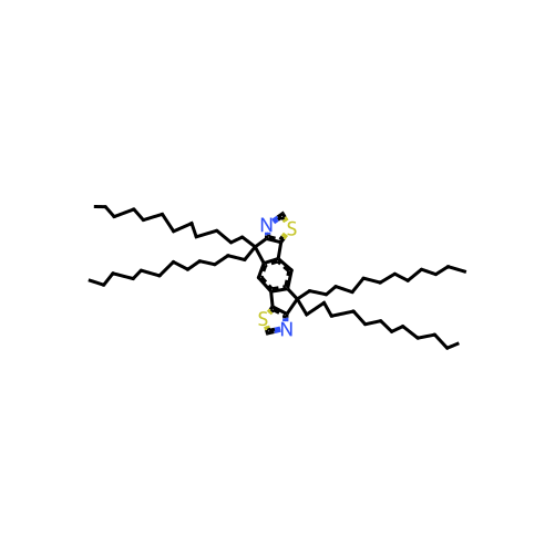 CCCCCCCCCCCCC1(CCCCCCCCCCCC)c2cc3c(cc2-c2scnc21)C(CCCCCCCCCCCC)(CCCCCCCCCCCC)c1ncsc1-3